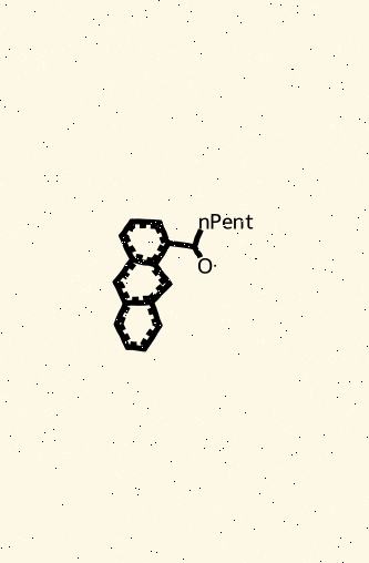 CCCCCC([O])c1cccc2cc3ccccc3cc12